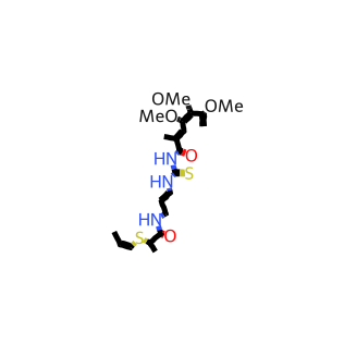 C=C(OC)/C(OC)=C(\C=C(/C)C(=O)NC(=S)N/C=C/CNC(=O)C(C)S/C=C\C)OC